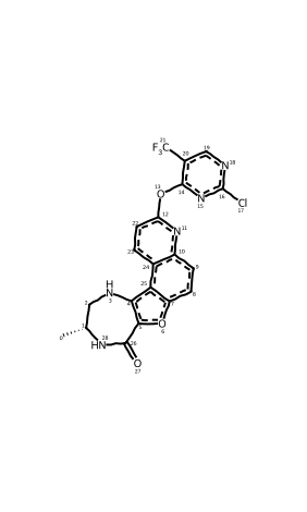 C[C@@H]1CNc2c(oc3ccc4nc(Oc5nc(Cl)ncc5C(F)(F)F)ccc4c23)C(=O)N1